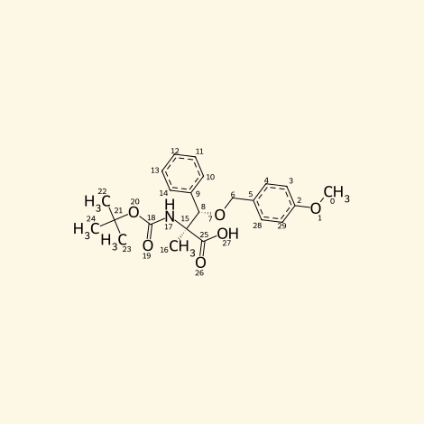 COc1ccc(CO[C@@H](c2ccccc2)[C@](C)(NC(=O)OC(C)(C)C)C(=O)O)cc1